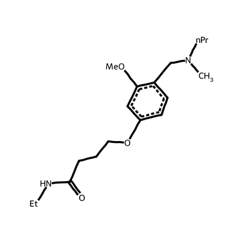 CCCN(C)Cc1ccc(OCCCC(=O)NCC)cc1OC